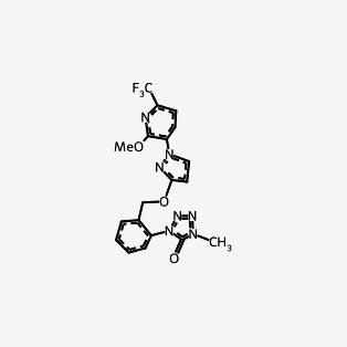 COc1nc(C(F)(F)F)ccc1-n1ccc(OCc2ccccc2-n2nnn(C)c2=O)n1